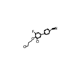 N#Cc1ccc(-c2cc(F)c(OCCCCl)c(Cl)c2)cc1